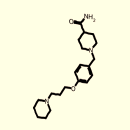 NC(=O)C1CCN(Cc2ccc(OCCCN3CCCCC3)cc2)CC1